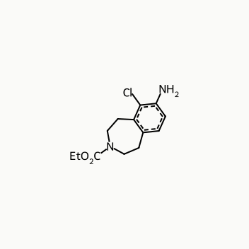 CCOC(=O)N1CCc2ccc(N)c(Cl)c2CC1